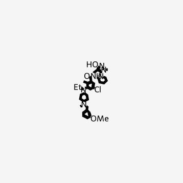 CCN(c1cc(Cl)cc(C(=O)NCc2c(O)nn(C)c2N2CCCCC2)c1C)C1CCC(N(C)Cc2cccc(OC)c2)CC1